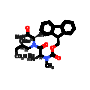 CC[C@H](C)[C@@H]([C@@H](CC(=O)O)OC)N(C(=O)[C@H](C(C)C)N(C)C(=O)OCC1c2ccccc2-c2ccccc21)[C@H](C(=O)NC)C(C)C